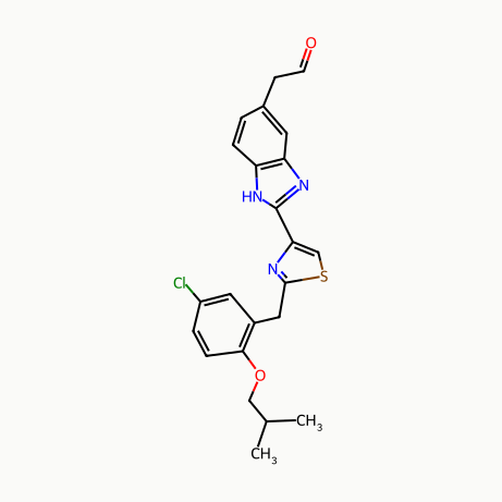 CC(C)COc1ccc(Cl)cc1Cc1nc(-c2nc3cc(CC=O)ccc3[nH]2)cs1